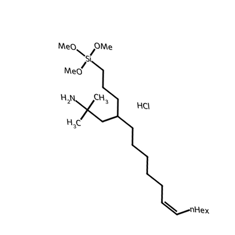 CCCCCC/C=C\CCCCCC(CCC[Si](OC)(OC)OC)CC(C)(C)N.Cl